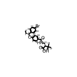 CC[C@H](Oc1ccc(C(=O)NC[C@H](C(=O)O)C(C)(C)C)cc1)c1ccc(Br)cc1